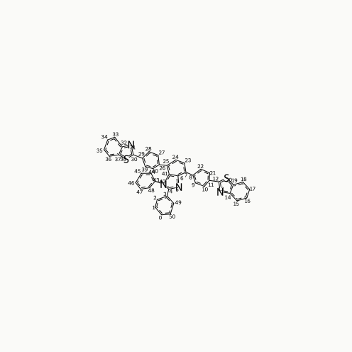 c1ccc(-c2nc3c(-c4ccc(-c5nc6ccccc6s5)cc4)ccc(-c4ccc(-c5nc6ccccc6s5)cc4)c3n2-c2ccccc2)cc1